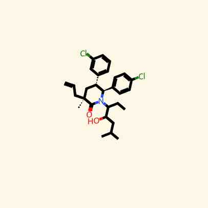 C=CC[C@@]1(C)C[C@H](c2cccc(Cl)c2)[C@@H](c2ccc(Cl)cc2)N(C(CC)C(O)CC(C)C)C1=O